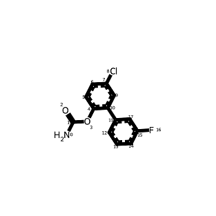 NC(=O)Oc1ccc(Cl)cc1-c1cccc(F)c1